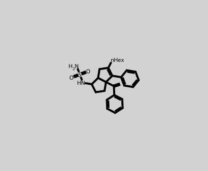 C=C(c1ccccc1)C12CCC(NS(N)(=O)=O)C1CC(CCCCCC)=C2c1ccccc1